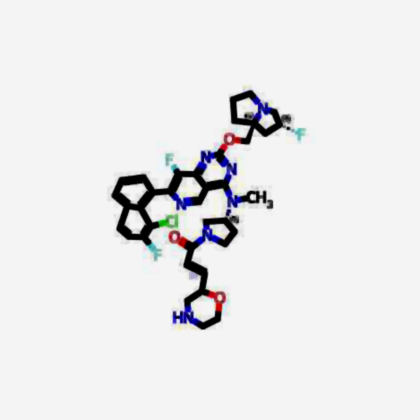 CN(c1nc(OC[C@@]23CCCN2C[C@H](F)C3)nc2c(F)c(-c3cccc4ccc(F)c(Cl)c34)ncc12)[C@@H]1CCN(C(=O)/C=C/C2CNCCO2)C1